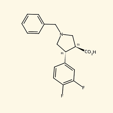 O=C(O)[C@@H]1CN(Cc2ccccc2)C[C@H]1c1ccc(F)c(F)c1